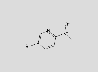 C[S+]([O-])c1ccc(Br)cn1